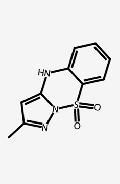 Cc1cc2n(n1)S(=O)(=O)c1ccccc1N2